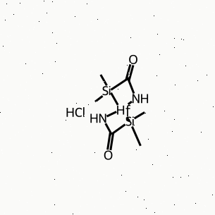 C[Si]1(C)C(=O)[NH][Hf]12[NH]C(=O)[Si]2(C)C.Cl